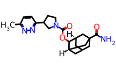 Cc1ccc(C2CCN(C(=O)OC3[C@@H]4CC5C[C@H]3CC(C(N)=O)(C5)C4)C2)nn1